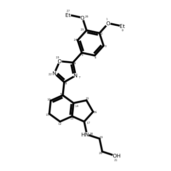 CCOc1ccc(-c2nc(C3=CCCC4=C3CCC4NCCO)no2)cc1OCC